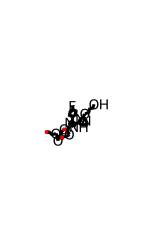 C=CCOC(=O)C1(C)COC(c2nc(-c3ccc(F)cc3)c(-c3ccnc(OCCCO)n3)[nH]2)OC1